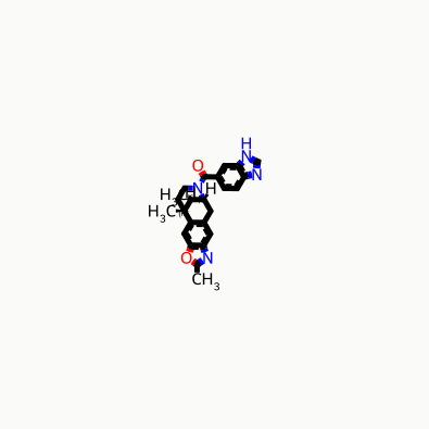 Cc1nc2cc3c(cc2o1)[C@]1(C)CCN(C(=O)c2ccc4nc[nH]c4c2)[C@H](C3)[C@H]1C